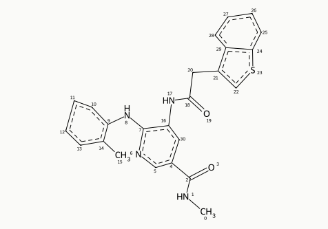 CNC(=O)c1cnc(Nc2ccccc2C)c(NC(=O)Cc2csc3ccccc23)c1